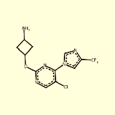 NC1CC(Oc2ncc(Cl)c(-n3cnc(C(F)(F)F)c3)n2)C1